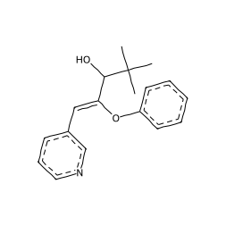 CC(C)(C)C(O)C(=Cc1cccnc1)Oc1ccccc1